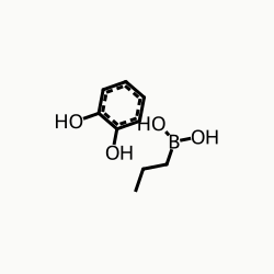 CCCB(O)O.Oc1ccccc1O